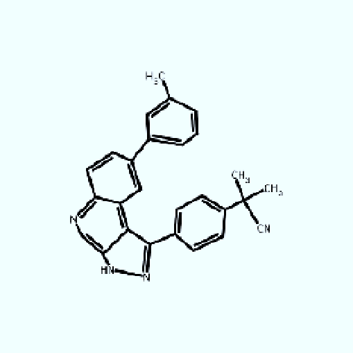 Cc1cccc(-c2ccc3ncc4[nH]nc(-c5ccc(C(C)(C)C#N)cc5)c4c3c2)c1